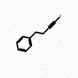 FC#CCCc1ccccc1